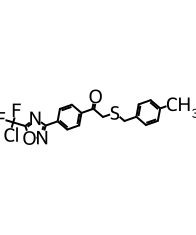 Cc1ccc(CSCC(=O)c2ccc(-c3noc(C(F)(F)Cl)n3)cc2)cc1